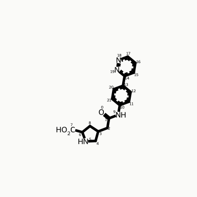 O=C(CC1CNC(C(=O)O)C1)Nc1ccc(-c2cccnn2)cc1